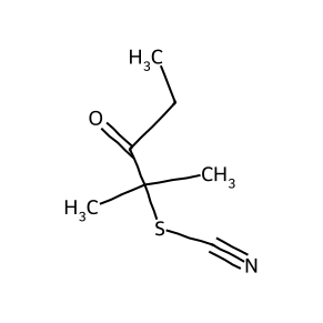 CCC(=O)C(C)(C)SC#N